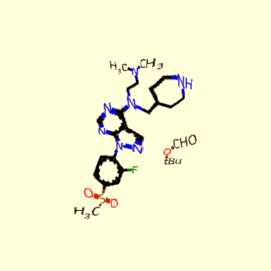 CC(C)(C)OC=O.CN(C)CCN(CC1CCNCC1)c1ncnc2c1cnn2-c1ccc(S(C)(=O)=O)cc1F